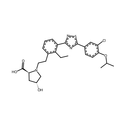 CCc1c(CCN2C[C@H](O)C[C@H]2C(=O)O)cccc1-c1nsc(-c2ccc(OC(C)C)c(Cl)c2)n1